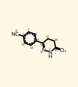 N#Cc1ccc(C2=NNC(=O)CC2)cc1